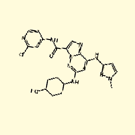 Cn1ccc(Nc2cc(NC3CCC(O)CC3)nn3c(C(=O)Nc4ccnc(Cl)c4)cnc23)n1